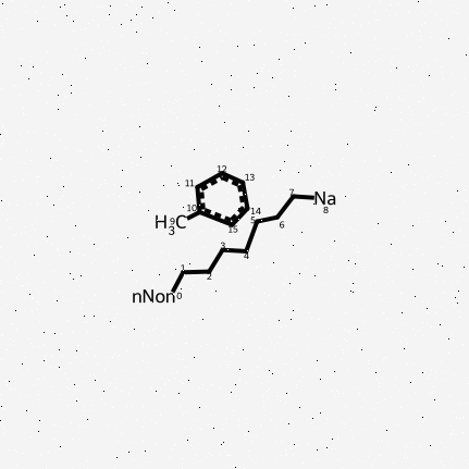 CCCCCCCCCCCCCCC[CH2][Na].Cc1ccccc1